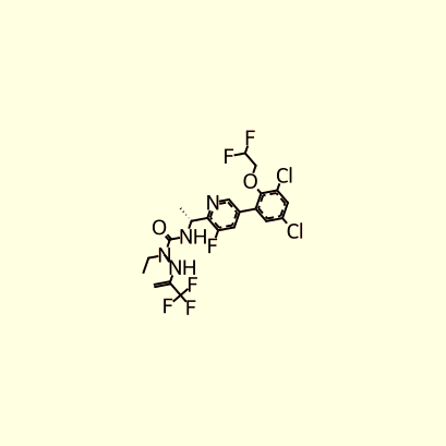 C=C(NN(CC)C(=O)N[C@H](C)c1ncc(-c2cc(Cl)cc(Cl)c2OCC(F)F)cc1F)C(F)(F)F